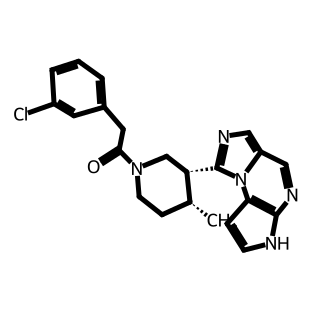 C[C@@H]1CCN(C(=O)Cc2cccc(Cl)c2)C[C@@H]1c1ncc2cnc3[nH]ccc3n12